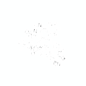 CC1(C)CC[C@]2(C(=O)n3cnc(-c4ccccc4)c3)CC[C@]3(C)[C@H](C(=O)C=C4[C@@]5(C)C=C(C#N)C(=O)C(C)(C)C5CC[C@]43C)C2C1